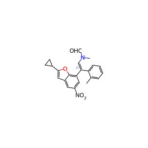 Cc1ccccc1/C(=C\N(C)C=O)c1cc([N+](=O)[O-])cc2cc(C3CC3)oc12